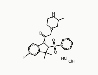 CC1CN(CC(=O)N2c3ccc(F)cc3C(C)(C)C2S(=O)(=O)c2ccccc2)CCN1.Cl.Cl